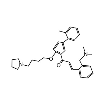 Cc1ccccc1-c1ccc(OCCCCN2CCCC2)c(C(=O)C=Cc2ccccc2CN(C)C)c1